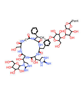 CCCC(C)C1OCC2OC(OC3C(CO)OC(Oc4ccc(CC5NC(=O)C(C(C)c6ccccc6)NC(=O)CNC(=O)C(CO)NC(=O)C(C(O)C6CNC(=N)N6C6OC(CO)C(O)C(O)C6O)NC(=O)C(C(O)C6CNC(=N)N6)NC5=O)cc4)C(O)C3O)C(O)C(O)C2O1